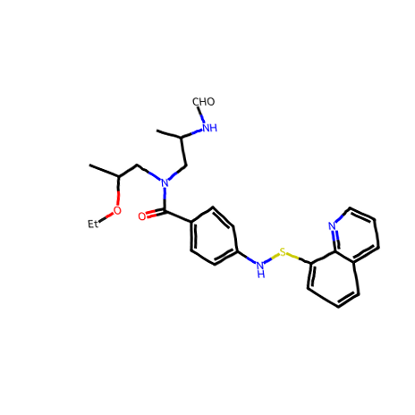 CCOC(C)CN(CC(C)NC=O)C(=O)c1ccc(NSc2cccc3cccnc23)cc1